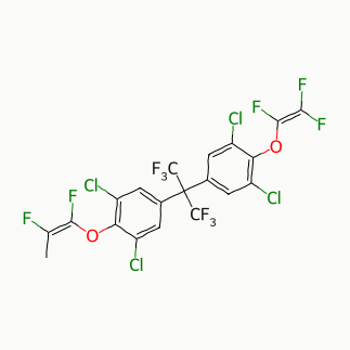 C/C(F)=C(/F)Oc1c(Cl)cc(C(c2cc(Cl)c(OC(F)=C(F)F)c(Cl)c2)(C(F)(F)F)C(F)(F)F)cc1Cl